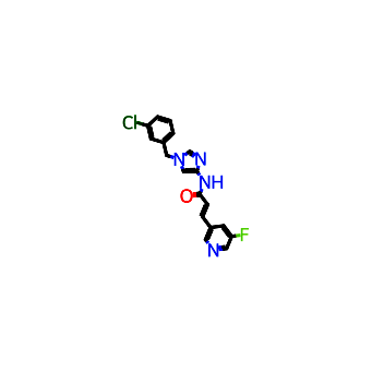 O=C(/C=C/c1cncc(F)c1)Nc1cn(Cc2cccc(Cl)c2)cn1